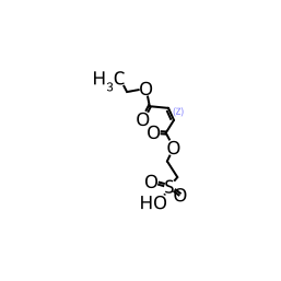 CCOC(=O)/C=C\C(=O)OCCS(=O)(=O)O